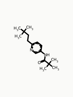 CC(C)(C)CCc1ccc(NC(=O)C(C)(C)C)cn1